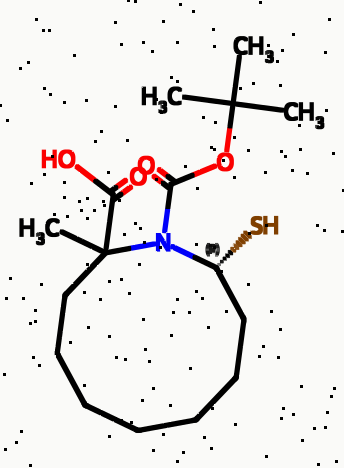 CC(C)(C)OC(=O)N1[C@H](S)CCCCCCCC1(C)C(=O)O